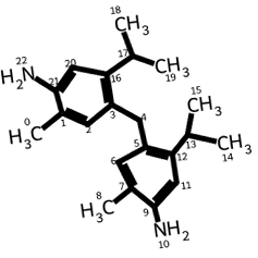 Cc1cc(Cc2cc(C)c(N)cc2C(C)C)c(C(C)C)cc1N